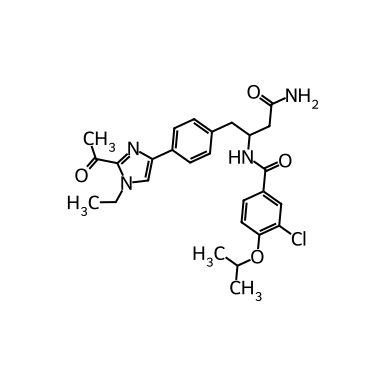 CCn1cc(-c2ccc(CC(CC(N)=O)NC(=O)c3ccc(OC(C)C)c(Cl)c3)cc2)nc1C(C)=O